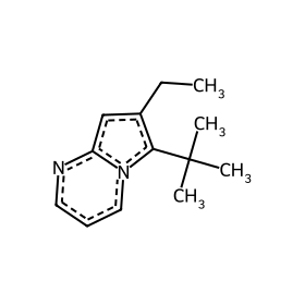 CCc1cc2ncccn2c1C(C)(C)C